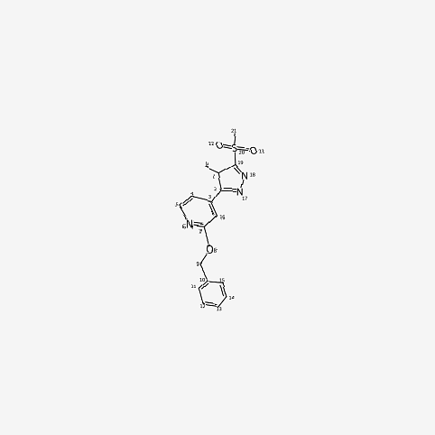 CC1C(c2ccnc(OCc3ccccc3)c2)=NN=C1S(C)(=O)=O